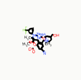 COC(=O)C1=C(C)N(c2cccc(C(F)(F)F)c2)c2n[nH]c(=O)n2C1c1ccc(C#N)cc1C[N+]1(C)CCC(CO)CC1.O=C[O-]